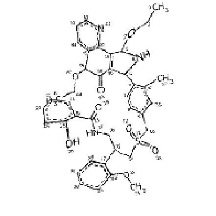 CCOC1NC(c2ccc(CS(=O)(=O)CC(CNC(=O)c3ccccc3O)c3ccccc3OC)cc2C)C2=C1c1ncccc1C(OCC)C2=O